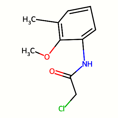 COc1c(C)cccc1NC(=O)CCl